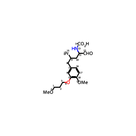 COCCCOc1cc(CC(CC(C=O)NC(=O)O)C(C)C)ccc1OC